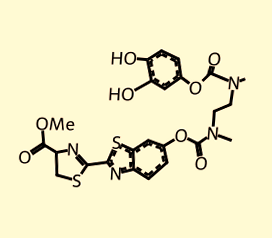 COC(=O)C1CSC(c2nc3ccc(OC(=O)N(C)CCN(C)C(=O)Oc4ccc(O)c(O)c4)cc3s2)=N1